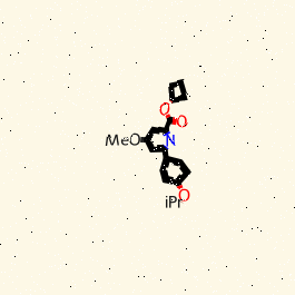 COc1cc(C(=O)OC2CCC2)nc(-c2ccc(OC(C)C)cc2)c1